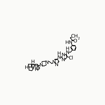 C=CC(=O)Nc1cccc(CNc2nc(Nc3cnn(CCN4CCN(C(=O)CC5[C@H]6CC[C@H]7C[C@@H]5C76C)CC4)c3)ncc2Cl)c1